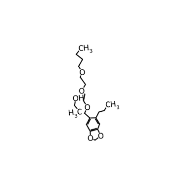 CCCCOCCOCCOCc1cc2c(cc1CCC)OCO2.CCO